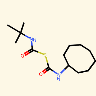 CC(C)(C)NC(=O)SC(=O)NC1CCCCCCC1